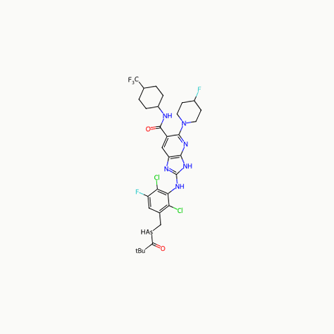 CC(C)(C)C(=O)[AsH]Cc1cc(F)c(Cl)c(Nc2nc3cc(C(=O)NC4CCC(C(F)(F)F)CC4)c(N4CCC(F)CC4)nc3[nH]2)c1Cl